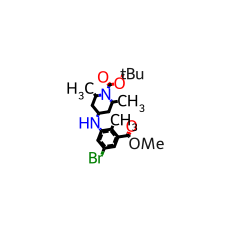 COC(=O)c1cc(Br)cc(NC2CC(C)N(C(=O)OC(C)(C)C)C(C)C2)c1C